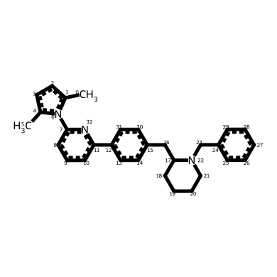 Cc1ccc(C)n1-c1cccc(-c2ccc(CC3CCCCN3Cc3ccccc3)cc2)n1